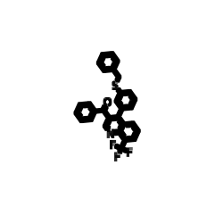 O=C(c1ccccc1)c1cnc2c(C(F)(F)F)cccc2c1-c1cccc(SCc2ccccc2)c1